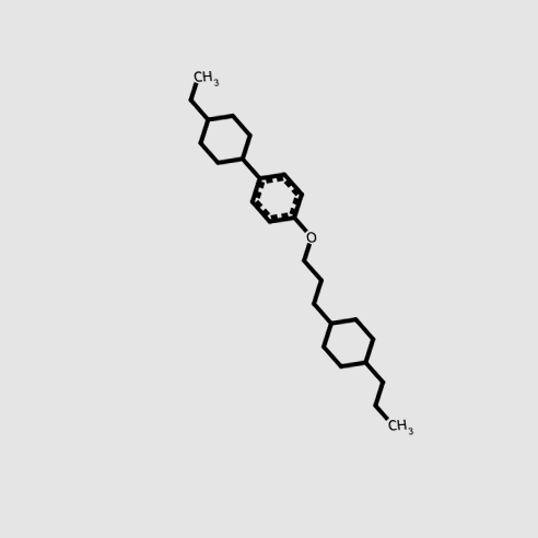 CCCC1CCC(CCCOc2ccc(C3CCC(CC)CC3)cc2)CC1